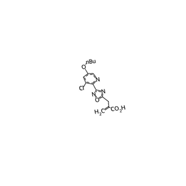 C=C(Cc1nc(-c2ncc(OCCCC)cc2Cl)no1)C(=O)O